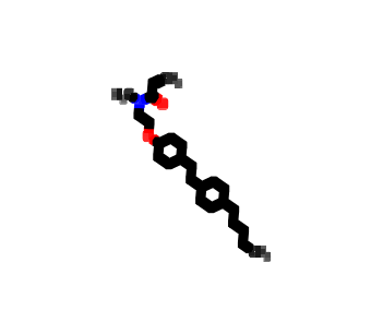 C=CC(=O)N(C)CCOC1CCC(CCC2CCC(CCCCC)CC2)CC1